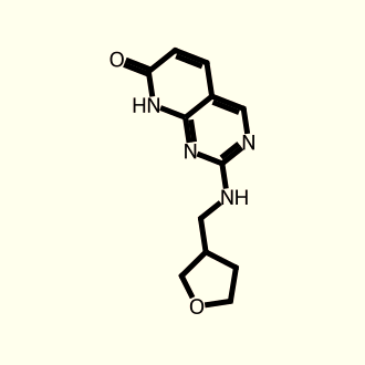 O=c1ccc2cnc(NCC3CCOC3)nc2[nH]1